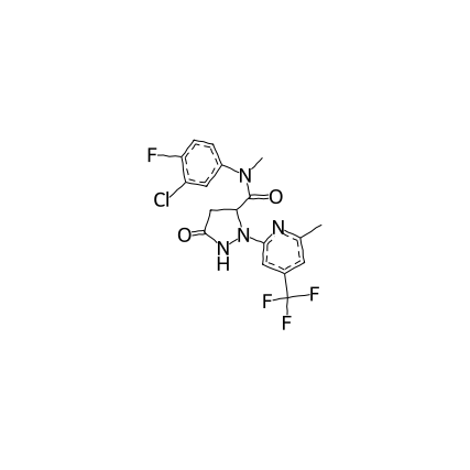 Cc1cc(C(F)(F)F)cc(N2NC(=O)CC2C(=O)N(C)c2ccc(F)c(Cl)c2)n1